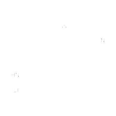 CCNCc1cccc(Oc2cccnc2)c1